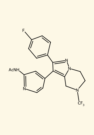 CC(=O)Nc1cc(-c2c(-c3ccc(F)cc3)nn3c2CN(C(F)(F)F)CC3)ccn1